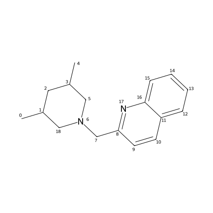 CC1CC(C)CN(Cc2ccc3ccccc3n2)C1